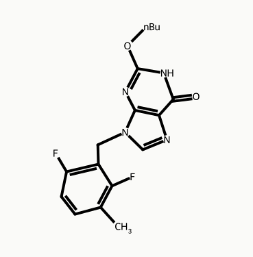 CCCCOc1nc2c(ncn2Cc2c(F)ccc(C)c2F)c(=O)[nH]1